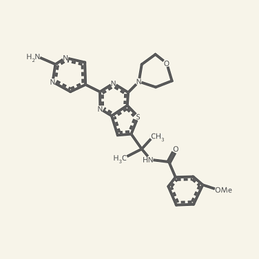 COc1cccc(C(=O)NC(C)(C)c2cc3nc(-c4cnc(N)nc4)nc(N4CCOCC4)c3s2)c1